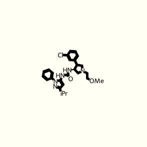 COCCN1CC(c2cccc(Cl)c2)[C@H](NC(=O)Nc2cc(C(C)C)nn2-c2ccccc2)C1